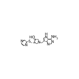 Nc1ncnc2c(CN3C[C@H](CSc4cnccn4)[C@H](O)C3)c[nH]c12